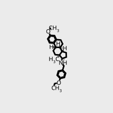 CCOc1ccc(CN[C@@H]2CC[C@H]3[C@@H]4CCc5cc(OC)ccc5[C@H]4CC[C@]23C)cc1